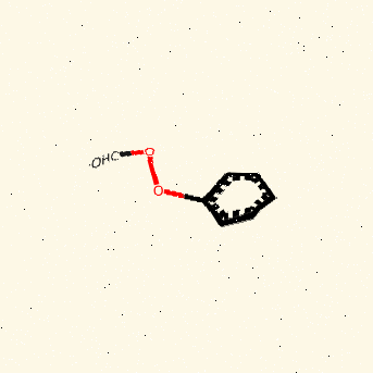 O=[C]OOc1cc[c]cc1